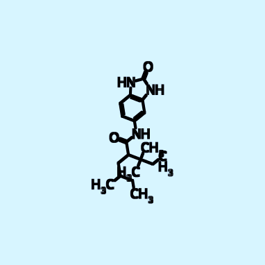 CCC(C)CC(C(=O)Nc1ccc2[nH]c(=O)[nH]c2c1)C(C)(C)CC